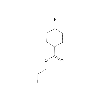 C=CCOC(=O)C1CCC(F)CC1